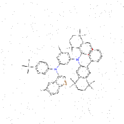 Cc1cc(N(c2cc3c(cc2-c2ccccc2)C(C)(C)CCC3(C)C)c2cccc3c2C(C)(C)CCC3(C)C)cc(N(c2ccc(C(C)(C)C)cc2)c2csc3ccc(C)cc23)c1